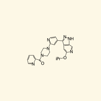 CC(C)Oc1cc2c(-c3ccnc(N4CCN(C(=O)c5ccccn5)CC4)c3)n[nH]c2cn1